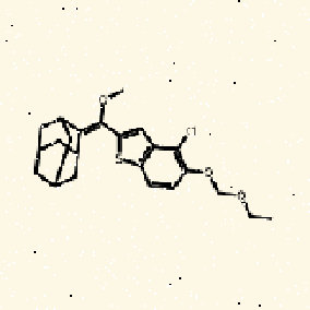 CCOCOc1ccc2sc(C(OC)=C3C4CC5CC(C4)CC3C5)cc2c1Cl